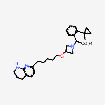 CC1(c2ccccc2C(C(=O)O)N2CC(OCCCCCc3ccc4c(n3)NCCC4)C2)CC1